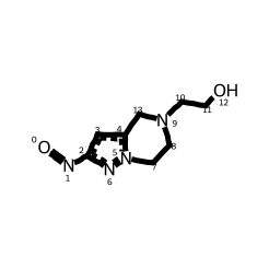 O=Nc1cc2n(n1)CCN(CCO)C2